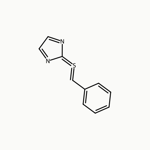 C1=NC(=S=Cc2ccccc2)N=C1